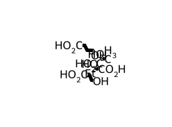 CC(O)C(=O)O.CCC(O)C(=O)O.O=C(O)CCCO.O=C(O)CCO